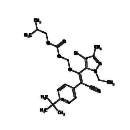 CCn1nc(C)c(Cl)c1/C(OCOC(=O)OCC(C)C)=C(\C#N)c1ccc(C(C)(C)C)cc1